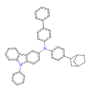 c1ccc(-c2ccc(N(c3ccc(C4CC5CCC4C5)cc3)c3ccc4c(c3)c3ccccc3n4-c3ccccc3)cc2)cc1